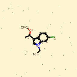 CC(OC=O)c1cn(CC#N)c2cc(Br)ccc12